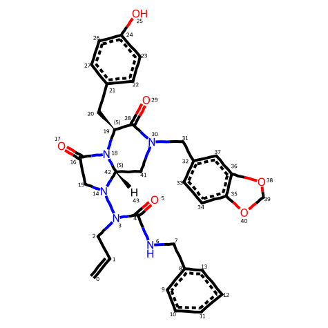 C=CCN(C(=O)NCc1ccccc1)N1CC(=O)N2[C@@H](Cc3ccc(O)cc3)C(=O)N(Cc3ccc4c(c3)OCO4)C[C@@H]21